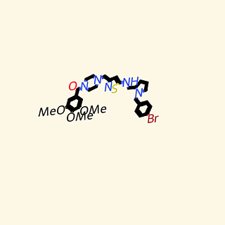 COc1cc(C(=O)N2CCN(Cc3cc(NCC4CCCN4Cc4ccc(Br)cc4)sn3)CC2)cc(OC)c1OC